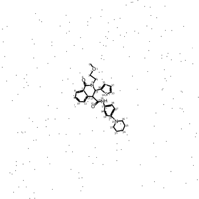 COCCN1C(=O)c2ccccc2C(C(=O)Nc2ccc(N3CCCCC3)cc2)C1c1cccs1